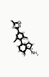 Cc1nc(-c2cc(C)c(-c3ccc(F)c4c3CC[C@H]4N)c(C)c2)no1